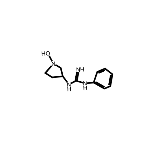 N=C(Nc1ccccc1)NC1CCN(O)C1